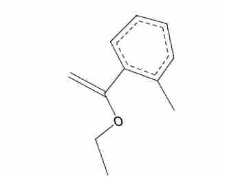 C=C(OCC)c1ccccc1C